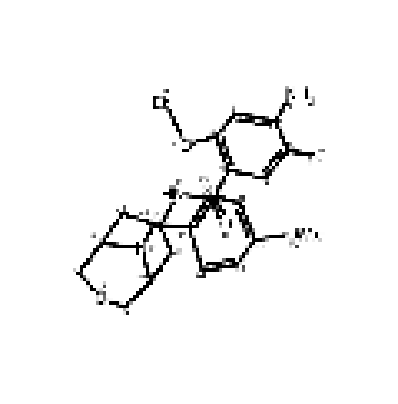 CCOc1cc(N)c(Cl)cc1C(=O)NC1CC2COCC(C1)N2Cc1ccc(OC)cc1